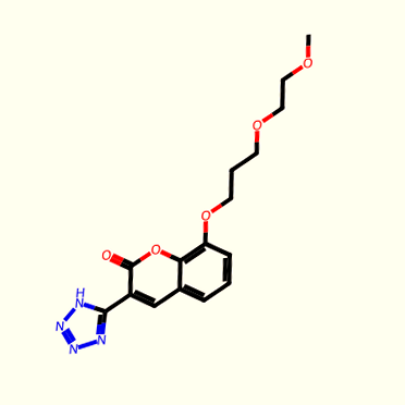 COCCOCCCOc1cccc2cc(-c3nnn[nH]3)c(=O)oc12